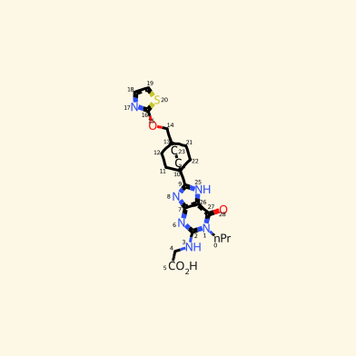 CCCn1c(NCC(=O)O)nc2nc(C34CCC(COc5nccs5)(CC3)CC4)[nH]c2c1=O